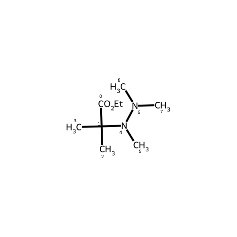 CCOC(=O)C(C)(C)N(C)N(C)C